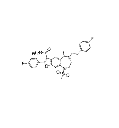 CNC(=O)c1c(-c2ccc(F)cc2)oc2cc3c(cc12)C(C)N(CCc1ccc(F)cc1)CCN3S(C)(=O)=O